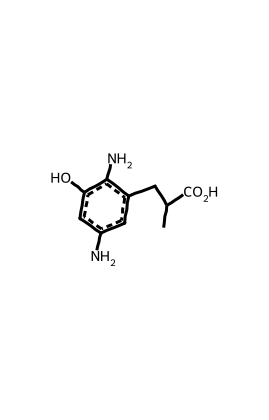 CC(Cc1cc(N)cc(O)c1N)C(=O)O